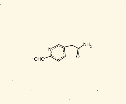 NC(=O)Cc1ccc(C=O)nc1